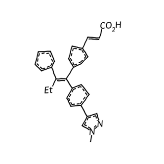 CCC(=C(c1ccc(C=CC(=O)O)cc1)c1ccc(-c2cnn(C)c2)cc1)c1ccccc1